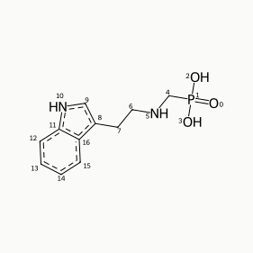 O=P(O)(O)CNCCc1c[nH]c2ccccc12